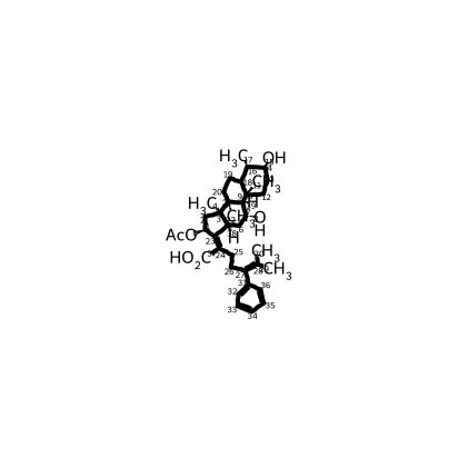 CC(=O)O[C@H]1C[C@@]2(C)[C@H](C[C@@H](O)[C@@H]3[C@@]4(C)CC[C@@H](O)[C@@H](C)C4CC[C@@]32C)C1=C(CCC(=C(C)C)c1ccccc1)C(=O)O